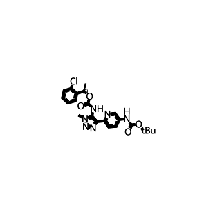 C[C@@H](OC(=O)Nc1c(-c2ccc(NC(=O)OC(C)(C)C)cn2)nnn1C)c1ccccc1Cl